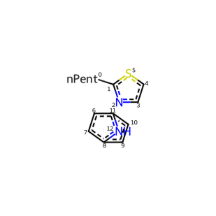 CCCCCc1nccs1.c1cc2ccc1[nH]2